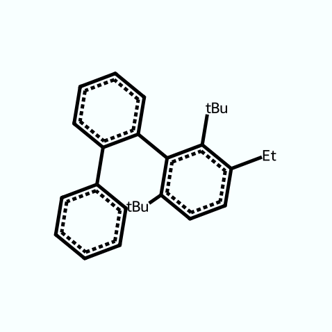 CCc1ccc(C(C)(C)C)c(-c2ccccc2-c2ccccc2)c1C(C)(C)C